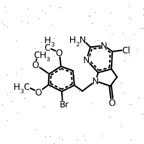 COc1cc(CN2C(=O)Cc3c(Cl)nc(N)nc32)c(Br)c(OC)c1OC